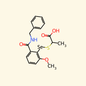 COc1cccc(C(=O)NCc2ccccc2)c1[Se]SC(C)C(=O)O